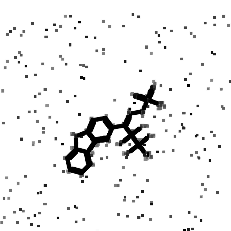 O=S(=O)(ON=C(c1ccc2sc3ccccc3c2c1)C(F)(F)C(F)(F)C(F)(F)F)C(F)(F)F